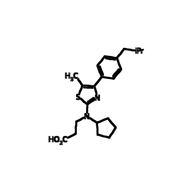 Cc1sc(N(CCC(=O)O)C2CCCC2)nc1-c1ccc(CC(C)C)cc1